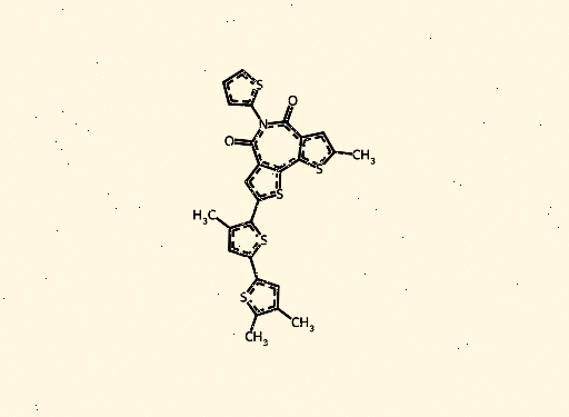 Cc1cc2c(=O)n(-c3cccs3)c(=O)c3cc(-c4sc(-c5cc(C)c(C)s5)cc4C)sc3c2s1